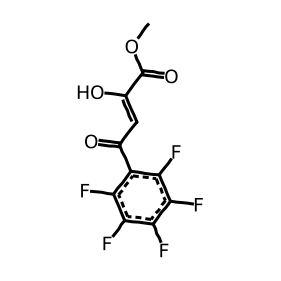 COC(=O)/C(O)=C/C(=O)c1c(F)c(F)c(F)c(F)c1F